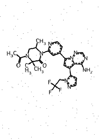 CC(=O)N1CC(C)N(c2cc(-c3cc(-c4ccnn4CC(F)(F)F)c4c(N)ncnn34)ccn2)C(=O)C1(C)C